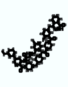 CCc1cccc(-c2cnc(C(=O)N3CCN(CC4CCN(CC(=O)N5CCN(C(=O)c6cc(Cc7n[nH]c(=O)c8ccccc78)ccc6F)CC5)CC4)CC3)c(NC(=O)CNCc3cc(C)ncn3)c2)c1